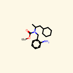 CC(CC1CCCCC1)N(Cc1ccccc1N)C(=O)OC(C)(C)C